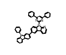 c1ccc(-c2cc(-c3ccccc3)nc(-n3c4ccc(-c5ccc6c7ccccc7n(-c7ccccc7)c6c5)cc4c4cccnc43)n2)cc1